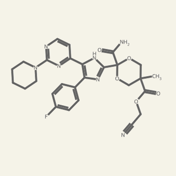 CC1(C(=O)OCC#N)COC(C(N)=O)(c2nc(-c3ccc(F)cc3)c(-c3ccnc(N4CCCCC4)n3)[nH]2)OC1